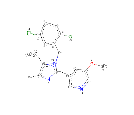 CCCOc1cncc(-c2nc(C)c(C(=O)O)n2Cc2cc(Cl)ccc2Cl)c1